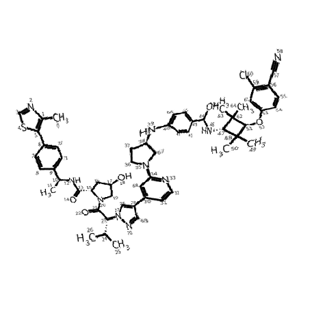 Cc1ncsc1-c1ccc([C@H](C)NC(=O)[C@@H]2C[C@@H](O)CN2C(=O)[C@@H](C(C)C)n2cc(-c3ccnc(N4CC[C@@H](Nc5ccc(C(O)N[C@H]6C(C)(C)[C@H](Oc7ccc(C#N)c(Cl)c7)C6(C)C)cc5)C4)c3)cn2)cc1